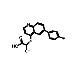 CC(Sc1ccnc2ccc(-c3ccc(F)cc3)cc12)C(=O)O